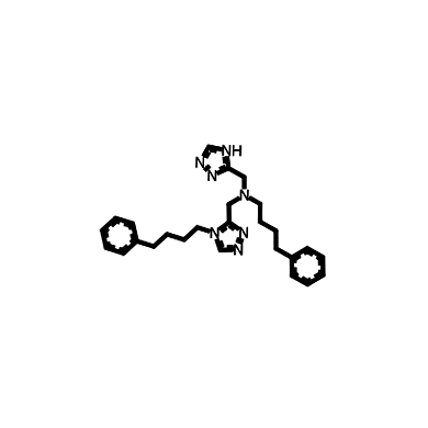 c1ccc(CCCCN(Cc2nnc[nH]2)Cc2nncn2CCCCc2ccccc2)cc1